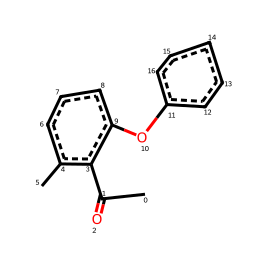 CC(=O)c1c(C)cccc1Oc1ccccc1